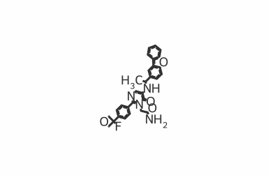 CC(Nc1cnc(-c2ccc(C3(F)COC3)cc2)n(CC(N)=O)c1=O)c1ccc2oc3ccccc3c2c1